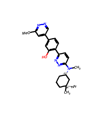 CCC[C@]1(C)CCC[C@H](N(C)c2ccc(-c3ccc(-c4cnnc(OC)c4)cc3O)nn2)C1